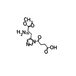 COC(=O)[C@@H](N)Cc1cncn1C(=O)CCC(=O)O